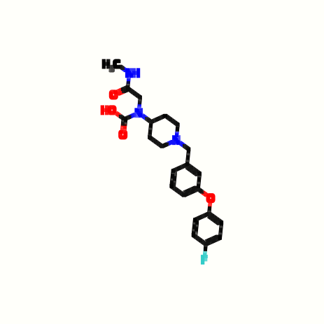 CNC(=O)CN(C(=O)O)C1CCN(Cc2cccc(Oc3ccc(F)cc3)c2)CC1